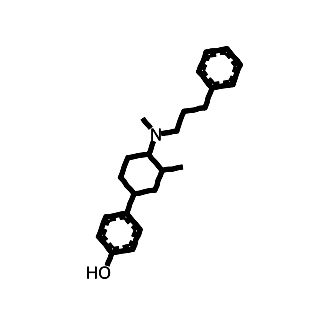 CC1CC(c2ccc(O)cc2)CCC1N(C)CCCc1ccccc1